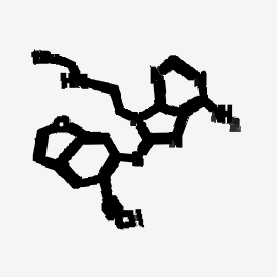 C#Cc1cc2ccoc2cc1Sc1nc2c(N)ncnc2n1CCNCC(C)(C)C